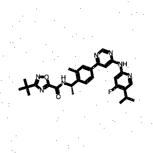 Cc1cc(-c2cc(Nc3cc(F)c(C(C)C)cn3)ncn2)ccc1[C@@H](C)NC(=O)c1nc(C(C)(C)C)no1